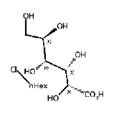 CCCCCCCl.O=C(O)[C@H](O)[C@@H](O)[C@H](O)[C@H](O)CO